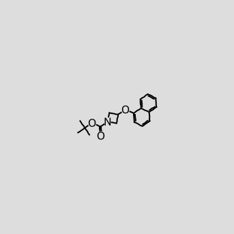 CC(C)(C)OC(=O)N1CC(Oc2cccc3ccccc23)C1